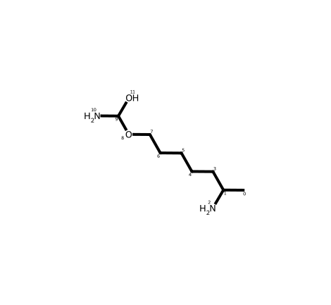 CC(N)CCCCCOC(N)O